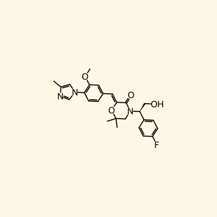 COc1cc(C=C2OC(C)(C)CN([C@@H](CO)c3ccc(F)cc3)C2=O)ccc1-n1cnc(C)c1